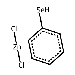 [Cl][Zn][Cl].[SeH]c1ccccc1